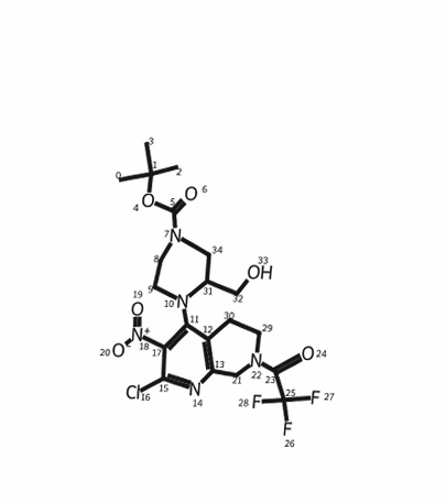 CC(C)(C)OC(=O)N1CCN(c2c3c(nc(Cl)c2[N+](=O)[O-])CN(C(=O)C(F)(F)F)CC3)C(CO)C1